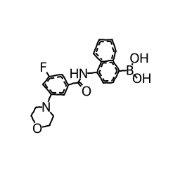 O=C(Nc1ccc(B(O)O)c2ccccc12)c1cc(F)cc(N2CCOCC2)c1